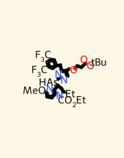 CCOC(=O)N1c2ccc(OC)nc2[C@@H]([AsH]c2ncc(COCCC(=O)OC(C)(C)C)c(Cc3cc(C(F)(F)F)cc(C(F)(F)F)c3)n2)C[C@H]1CC